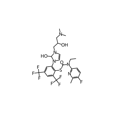 CCN(C(=O)Sc1c(N2C=CN(CC(O)CN(C)C)C2O)cc(C(F)(F)F)cc1C(F)(F)F)c1ccc(F)c(C)n1